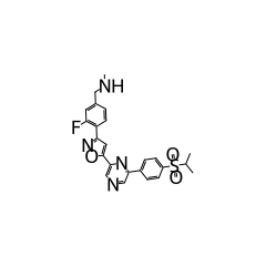 CNCc1ccc(-c2cc(-c3cncc(-c4ccc(S(=O)(=O)C(C)C)cc4)n3)on2)c(F)c1